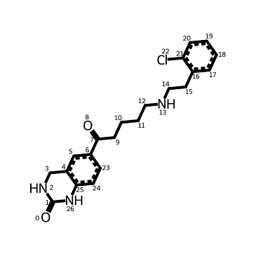 O=C1NCc2cc(C(=O)CCCCNCCc3ccccc3Cl)ccc2N1